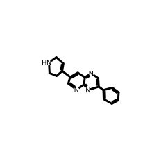 C1=C(c2cnc3nc(-c4ccccc4)cnc3c2)CCNC1